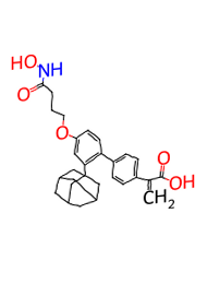 C=C(C(=O)O)c1ccc(-c2ccc(OCCCC(=O)NO)cc2C23CC4CC(CC(C4)C2)C3)cc1